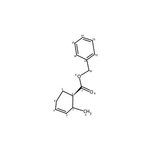 CC1C=CCC[C@H]1C(=O)OCc1ccccc1